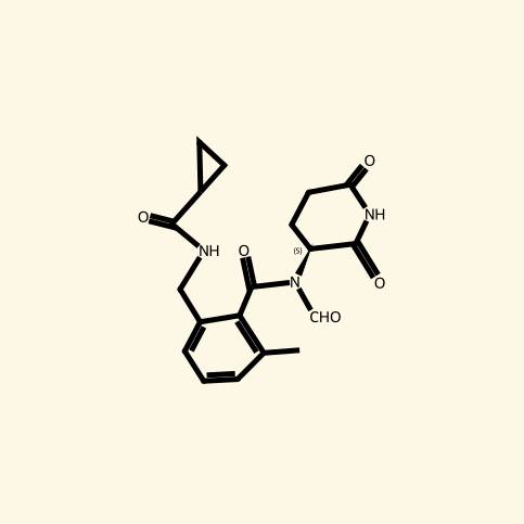 Cc1cccc(CNC(=O)C2CC2)c1C(=O)N(C=O)[C@H]1CCC(=O)NC1=O